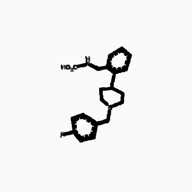 O=C(O)NCc1ccccc1C1CCN(Cc2ccc(F)cc2)CC1